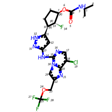 CC(C)NC(=O)O[C@@H]1CC[C@H](c2cc(Nc3ncc(Cl)c4nc(COC(F)(F)F)cn34)n[nH]2)[C@H]1F